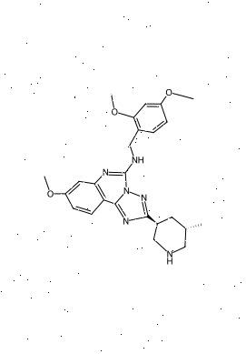 COc1ccc(CNc2nc3cc(OC)ccc3c3nc([C@@H]4CNC[C@@H](C)C4)nn23)c(OC)c1